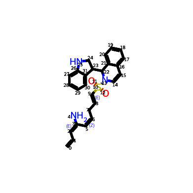 C=C/C=C(N)\C=C/C/C=C/S(=O)(=O)N1C=Cc2ccccc2C1C1CNc2ccccc21